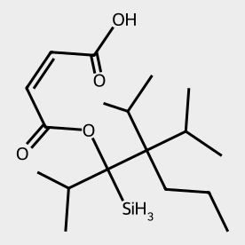 CCCC(C(C)C)(C(C)C)C([SiH3])(OC(=O)/C=C\C(=O)O)C(C)C